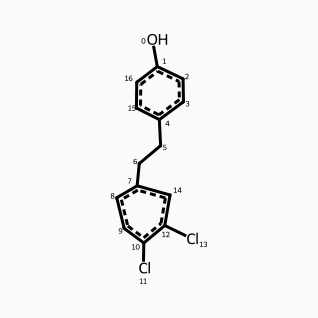 Oc1ccc(CCc2ccc(Cl)c(Cl)c2)cc1